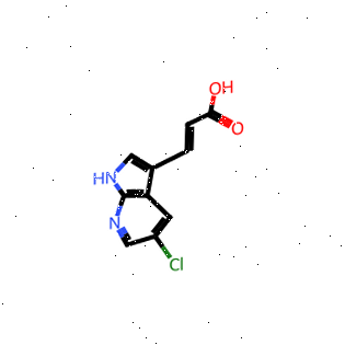 O=C(O)/C=C/c1c[nH]c2ncc(Cl)cc12